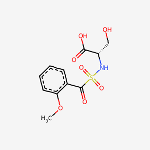 COc1ccccc1C(=O)S(=O)(=O)N[C@@H](CO)C(=O)O